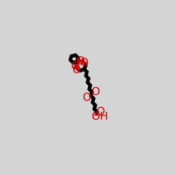 O=C(O)CCCCC(=O)C(=O)CCCCCCC1COOC2(CCCCC2)OOC1